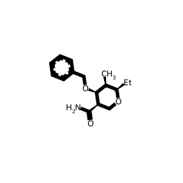 CC[C@H]1OC[C@@H](C(N)=O)[C@@H](OCc2ccccc2)[C@H]1C